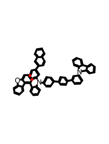 c1cc(-c2ccc3ccccc3c2)cc(N(c2ccc(-c3ccc(-c4cccc(-n5c6ccccc6c6ccccc65)c4)cc3)cc2)c2ccccc2-c2cccc3oc4ccccc4c23)c1